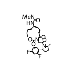 CNC(=O)NC1=C/C=C/C(=O)N(CC(=O)N2[C@@H](c3ccc(F)cc3F)CC[C@@H]2C)C(=O)OCC\C=C\1